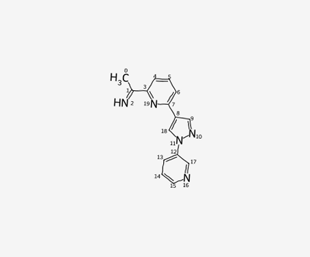 CC(=N)c1cccc(-c2cnn(-c3cccnc3)c2)n1